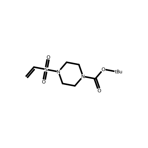 C=CS(=O)(=O)N1CCN(C(=O)OC(C)(C)C)CC1